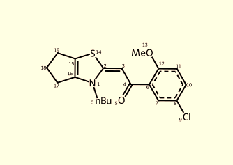 CCCCN1C(=CC(=O)c2cc(Cl)ccc2OC)SC2=C1CCC2